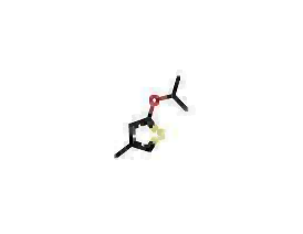 Cc1csc(OC(C)C)c1